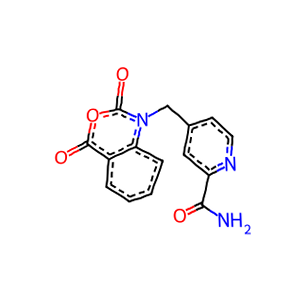 NC(=O)c1cc(Cn2c(=O)oc(=O)c3ccccc32)ccn1